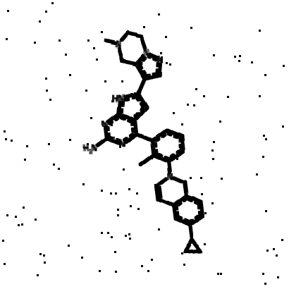 Cc1c(-c2nc(N)nc3[nH]c(-c4cnn5c4CN(C)CC5)cc23)cccc1N1C=Cc2cc(C3CC3)ccc2C1